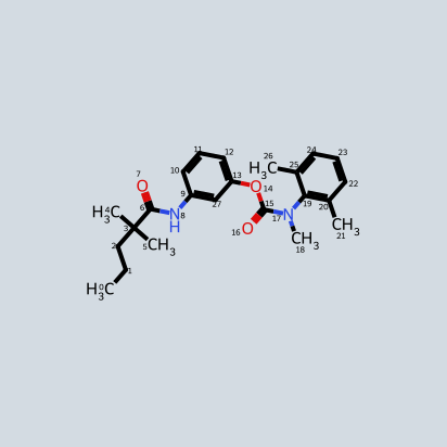 CCCC(C)(C)C(=O)Nc1cccc(OC(=O)N(C)c2c(C)cccc2C)c1